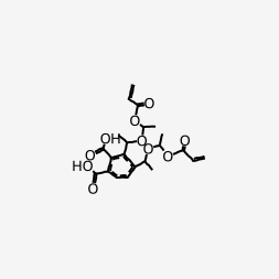 C=CC(=O)OC(C)OC(C)c1ccc(C(=O)O)c(C(=O)O)c1C(C)OC(C)OC(=O)C=C